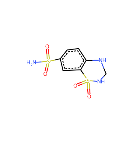 NS(=O)(=O)c1ccc2c(c1)S(=O)(=O)NCN2